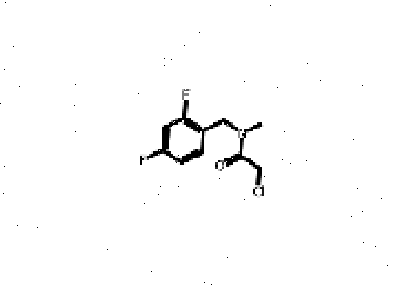 CN(Cc1ccc(F)cc1F)C(=O)CCl